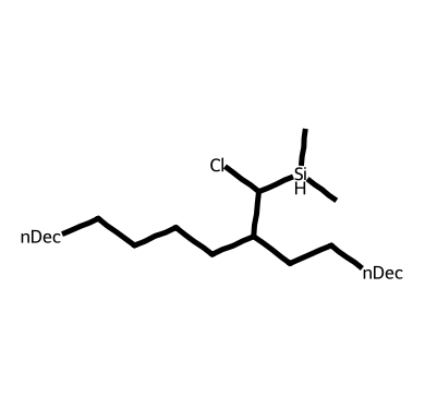 CCCCCCCCCCCCCCC(CCCCCCCCCCCC)C(Cl)[SiH](C)C